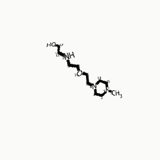 CN1CCN(CCOCCNCCO)CC1